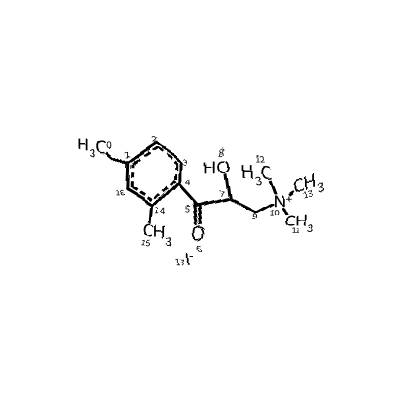 Cc1ccc(C(=O)C(O)C[N+](C)(C)C)c(C)c1.[I-]